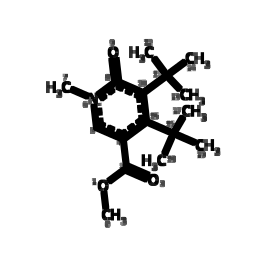 COC(=O)c1cn(C)c(=O)c(C(C)(C)C)c1C(C)(C)C